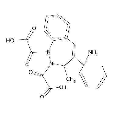 CC1C(C2(N)C=CC=CC2)=Cc2ccccc2N(C(=O)C(=O)O)N1C(=O)C(=O)O